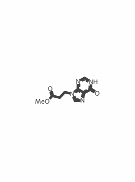 COC(=O)CCn1cnc2c(=O)[nH]cnc21